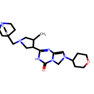 CC1CN(CC23CCN(CC2)CC3)CC1C1=NC2=CN(C3CCOCC3)CN2C(=O)N1